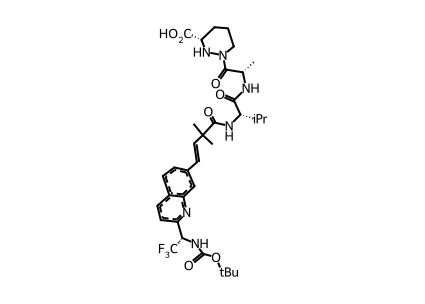 CC(C)[C@H](NC(=O)C(C)(C)/C=C/c1ccc2ccc([C@H](NC(=O)OC(C)(C)C)C(F)(F)F)nc2c1)C(=O)N[C@@H](C)C(=O)N1CCC[C@@H](C(=O)O)N1